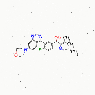 C=C/C=N\C(=C(C)C)[C@H](O)c1ccc(F)c(-c2ncnc3cc(N4CCOCC4)ccc23)c1